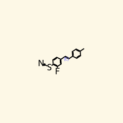 Cc1ccc(/C=C/c2ccc(SC#N)c(F)c2)cc1